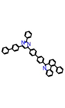 c1ccc(-c2ccc(-c3cc(-c4ccc(-c5ccc(-c6nc7ccccc7c7c(-c8ccccc8)cccc67)cc5)cc4)nc(-c4ccccc4)n3)cc2)cc1